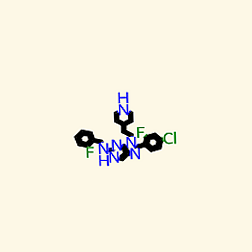 Fc1ccccc1CNc1ncc2nc(-c3ccc(Cl)cc3F)n(CCC3CCNCC3)c2n1